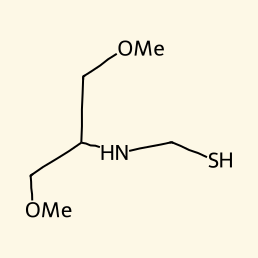 COCC(COC)NCS